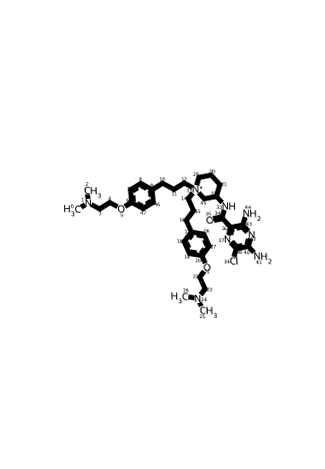 CN(C)CCOc1ccc(CCC[N+]2(CCCc3ccc(OCCN(C)C)cc3)CCCC(NC(=O)c3nc(Cl)c(N)nc3N)C2)cc1